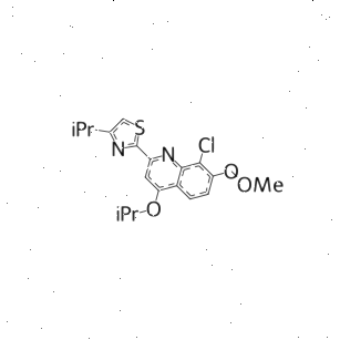 COOc1ccc2c(OC(C)C)cc(-c3nc(C(C)C)cs3)nc2c1Cl